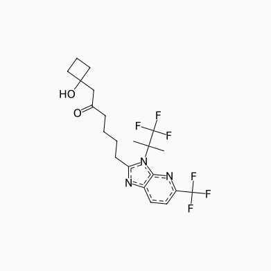 CC(C)(n1c(CCCCC(=O)CC2(O)CCC2)nc2ccc(C(F)(F)F)nc21)C(F)(F)F